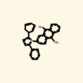 CC(C)(C)c1c2ccccc2c(C(C)(C)C)c2cc(-n3c(-c4ccccc4)ccc3C3C=CC=CC3)ccc12